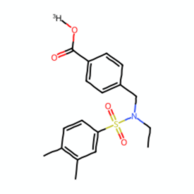 [3H]OC(=O)c1ccc(CN(CC)S(=O)(=O)c2ccc(C)c(C)c2)cc1